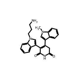 Cn1cc(C2=C(c3cn(CCCN)c4ccccc34)C(=O)NC(=O)C2)c2ccccc21